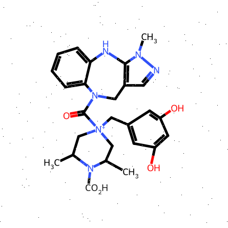 CC1C[N+](Cc2cc(O)cc(O)c2)(C(=O)N2Cc3cnn(C)c3Nc3ccccc32)CC(C)N1C(=O)O